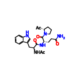 CC(=O)N[C@@H](Cc1c[nH]c2ccccc12)C(=O)N[C@@H](CCC(N)=O)C(=O)N1CCC[C@H]1C(C)=O